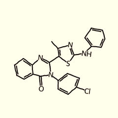 Cc1nc(Nc2ccccc2)sc1-c1nc2ccccc2c(=O)n1-c1ccc(Cl)cc1